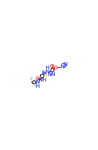 COc1cc2c(Nc3nc4ccc(NC(=O)Nc5cc(F)ccc5F)cc4s3)ncnc2cc1OCCCN1CCN(C)CC1